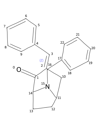 O=C1/C(=C\c2ccccc2)CC2CCC1N2Cc1ccccc1